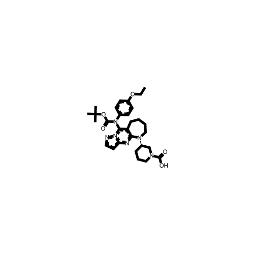 CCOc1ccc(N(C(=O)OC(C)(C)C)c2c3c(nc4ccnn24)N([C@H]2CCCN(C(=O)O)C2)CCCC3)cc1